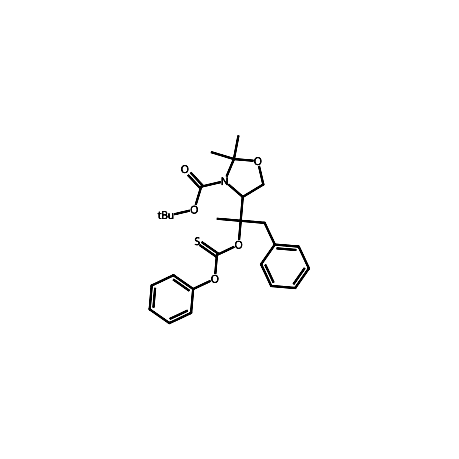 CC(C)(C)OC(=O)N1C(C(C)(Cc2ccccc2)OC(=S)Oc2ccccc2)COC1(C)C